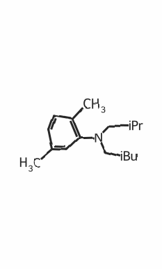 CCC(C)CN(CC(C)C)c1cc(C)ccc1C